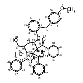 COc1ccc(Cc2ccccc2O[C@@H]2O[C@H](CO)[C@](O)(C(=O)c3ccccc3)[C@@](O)(C(=O)c3ccccc3)[C@]2(O)C(=O)c2ccccc2)cc1